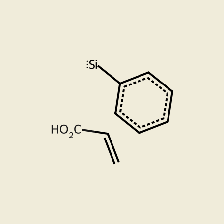 C=CC(=O)O.[Si]c1ccccc1